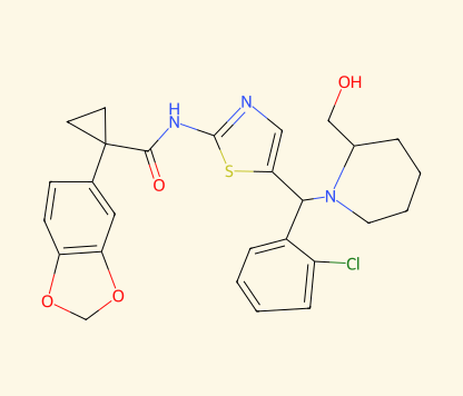 O=C(Nc1ncc(C(c2ccccc2Cl)N2CCCCC2CO)s1)C1(c2ccc3c(c2)OCO3)CC1